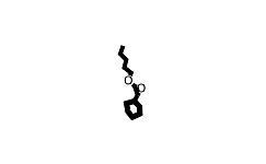 CCCCCOC1=C(c2ccccc2)O1